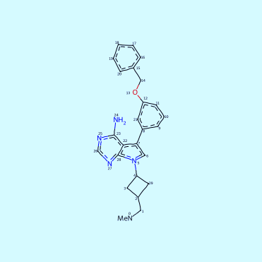 CNCC1CC(n2cc(-c3cccc(OCc4ccccc4)c3)c3c(N)ncnc32)C1